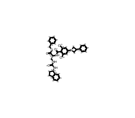 O=C(NC[C@H](NC(=O)c1c(Cl)cc(N2CC(c3ccccc3)C2)cc1Cl)C(=O)OCc1ccccc1)N[C@@H]1CCc2ccccc21